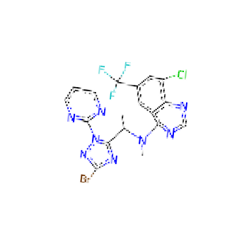 CC(c1nc(Br)nn1-c1ncccn1)N(C)c1ncnc2c(Cl)cc(C(F)(F)F)cc12